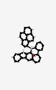 c1ccc(-c2ccccc2N(c2ccc3ccc4cccc5ccc2c3c45)c2cccc3c2sc2ccccc23)cc1